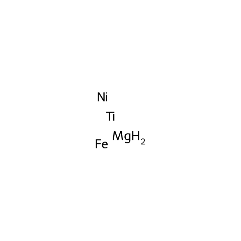 [Fe].[MgH2].[Ni].[Ti]